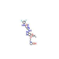 COc1cc2c(Nc3cc(CC(=O)Nc4cc(F)cc(F)c4)[nH]n3)ncnc2cc1OCCCN1CCCC(O)C1